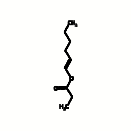 CCCC/C=C/OC(=O)CC